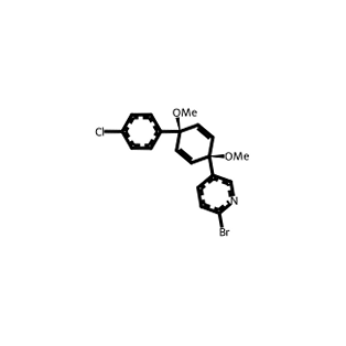 CO[C@]1(c2ccc(Cl)cc2)C=C[C@@](OC)(c2ccc(Br)nc2)C=C1